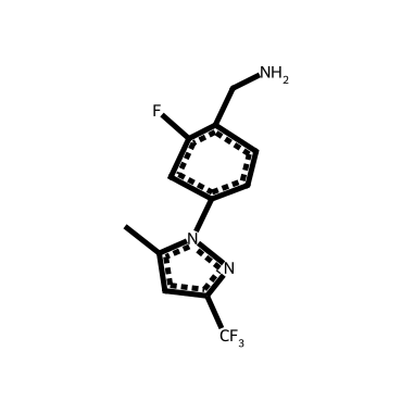 Cc1cc(C(F)(F)F)nn1-c1ccc(CN)c(F)c1